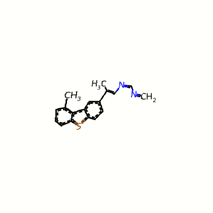 C=N/C=N\C=C(/C)c1ccc2sc3cccc(C)c3c2c1